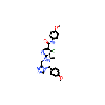 COc1ccc(Cn2cnnc2Cn2nc(C)c3c(Cl)c(C(=O)Nc4ccc(OC)cc4)cnc32)cc1